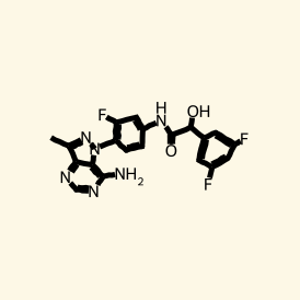 Cc1nn(-c2ccc(NC(=O)C(O)c3cc(F)cc(F)c3)cc2F)c2c(N)ncnc12